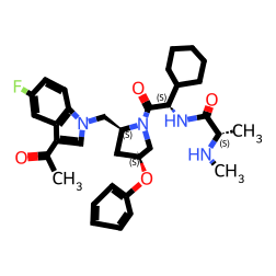 CN[C@@H](C)C(=O)N[C@H](C(=O)N1C[C@@H](Oc2ccccc2)C[C@H]1Cn1cc(C(C)=O)c2cc(F)ccc21)C1CCCCC1